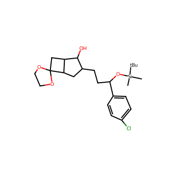 CC(C)(C)[Si](C)(C)OC(CCC1CC2C(CC23OCCO3)C1O)c1ccc(Cl)cc1